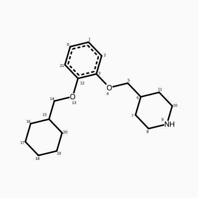 c1ccc(OCC2CCNCC2)c(OCC2CCCCC2)c1